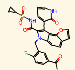 COC(=O)c1ccc(F)c(Cn2c(C(=O)NS(=O)(=O)C3CC3)c(-c3ccc[nH]c3=O)c3c4occc4ccc32)c1